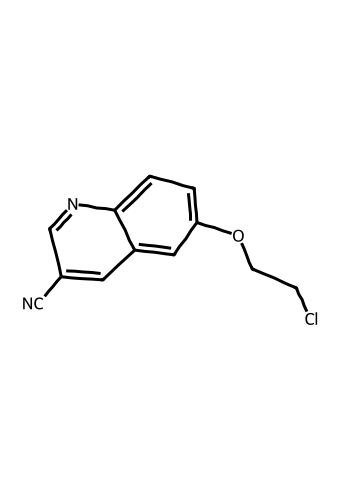 N#Cc1cnc2ccc(OCCCl)cc2c1